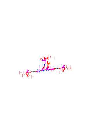 CC(=O)NC1[C@H](OCCCCCCC(=O)NCCCN(CCCN(CCCNC(=O)CCCCCCO[C@@H]2OC(CO)[C@H](O)[C@H](O)C2NC(C)=O)C(=O)C(O)COP(C)(C)=O)C(=O)CCCCCCO[C@@H]2OC(CO)[C@H](O)[C@H](O)C2NC(C)=O)OC(CO)[C@H](O)[C@@H]1O